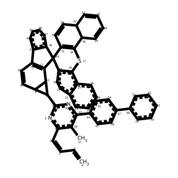 C=C/C=C\c1nc(C2C3C=CC4=C(C32)C2(C3=C(Sc5c2ccc2ccccc52)C2C=CC=CC2C=C3)c2ccccc24)nc(-c2ccc(-c3ccccc3)cc2)c1C